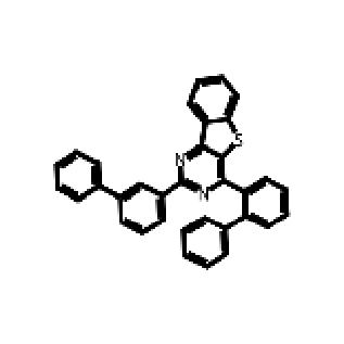 c1ccc(-c2cccc(-c3nc(-c4ccccc4-c4ccccc4)c4sc5ccccc5c4n3)c2)cc1